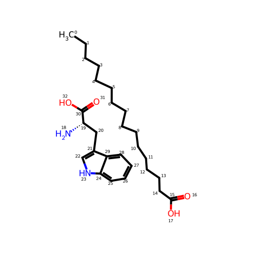 CCCCCCCCCCCCCCCC(=O)O.N[C@@H](Cc1c[nH]c2ccccc12)C(=O)O